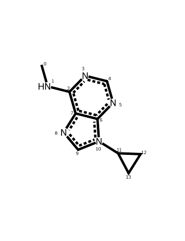 CNc1ncnc2c1ncn2C1CC1